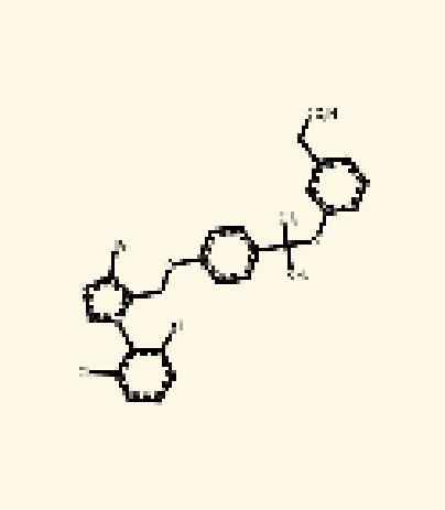 CC(C)c1nnn(-c2c(Cl)cccc2Cl)c1COc1ccc(C(C)(C)Sc2cccc(CC(=O)O)c2)cc1